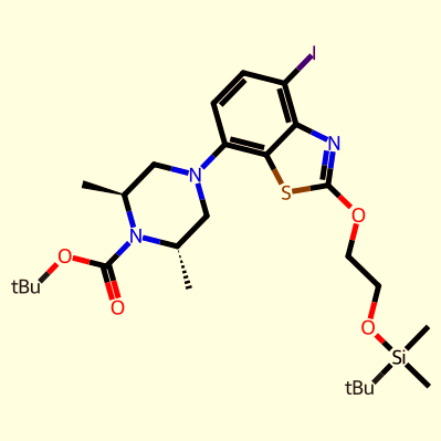 C[C@H]1CN(c2ccc(I)c3nc(OCCO[Si](C)(C)C(C)(C)C)sc23)C[C@H](C)N1C(=O)OC(C)(C)C